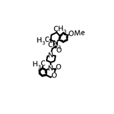 COc1ccc2c(c1)C(C)CC(C)(C)N2C(=O)CN1CCC(N2C(=O)OCc3cccc(C)c32)CC1